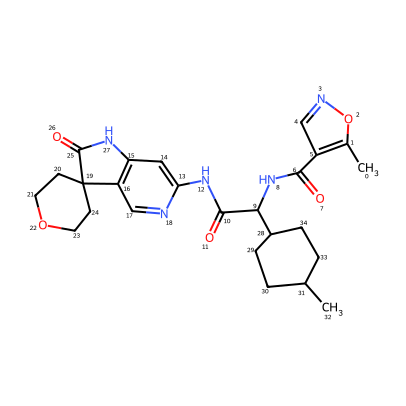 Cc1oncc1C(=O)NC(C(=O)Nc1cc2c(cn1)C1(CCOCC1)C(=O)N2)C1CCC(C)CC1